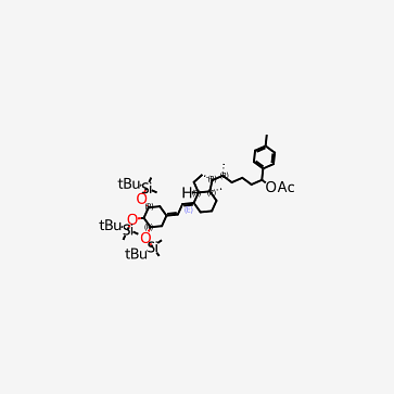 CC(=O)OC(CCC[C@@H](C)[C@H]1CC[C@H]2/C(=C/C=C3C[C@@H](O[Si](C)(C)C(C)(C)C)C(O[Si](C)(C)C(C)(C)C)[C@H](O[Si](C)(C)C(C)(C)C)C3)CCC[C@]12C)c1ccc(C)cc1